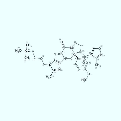 COc1ccc([C@@]23Cn4c(cc5c4nc(C)n5COCC[Si](C)(C)C)C(=O)N2CCN3C(=O)c2conc2C)cc1